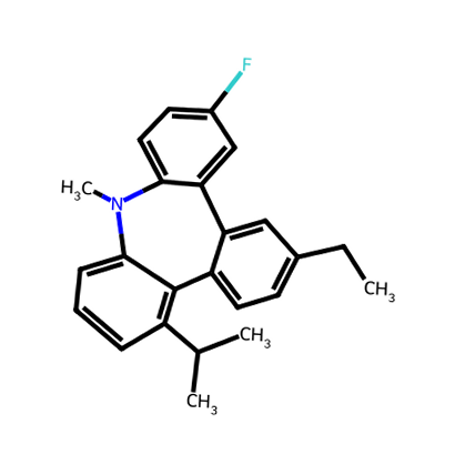 CCc1ccc2c(c1)-c1cc(F)ccc1N(C)c1cccc(C(C)C)c1-2